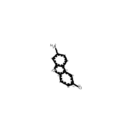 Bc1ccc2c(c1)oc1ccc(Cl)cc12